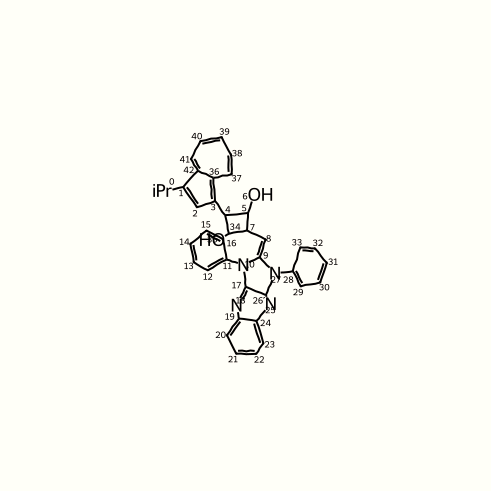 CC(C)c1cc(C2C(O)C(C=C3N(c4ccccc4)c4nc5ccccc5nc4N3c3ccccc3)C2O)c2cccccc1-2